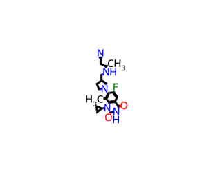 Cc1c(N2CCC(CNC(C)CC#N)C2)c(F)cc2c(=O)[nH]c(=O)n(C3CC3)c12